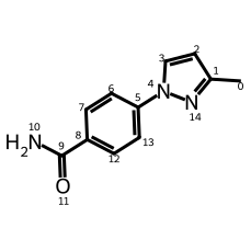 Cc1ccn(-c2ccc(C(N)=O)cc2)n1